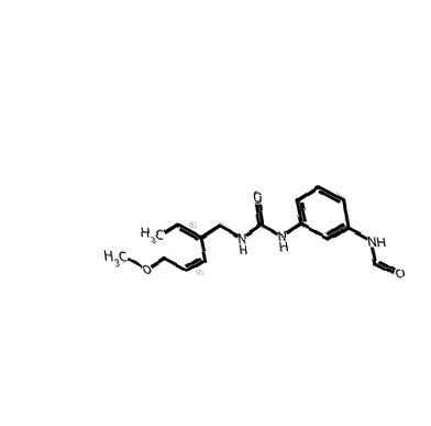 C/C=C(\C=C/COC)CNC(=O)Nc1cccc(NC=O)c1